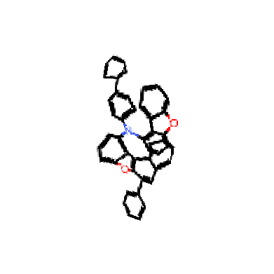 c1ccc(-c2ccc(N(c3cccc4oc5ccccc5c34)c3cccc4oc5c(-c6ccccc6)cc6ccccc6c5c34)cc2)cc1